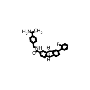 C=C(N)c1ccc(CNC(=O)c2ccc3c(c2)[C@@H]2O[C@H]3c3ccc(-c4ccccc4F)cc32)cc1